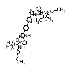 C=CCCOCN[C@H](C(=O)N1CCCC1c1ncc(-c2ccc(-c3ccc(-c4cnc([C@@H]5CCCN5C[C@@H](NC(=O)OCCC=C)C(C)C)[nH]4)cc3)cc2)[nH]1)C(C)C